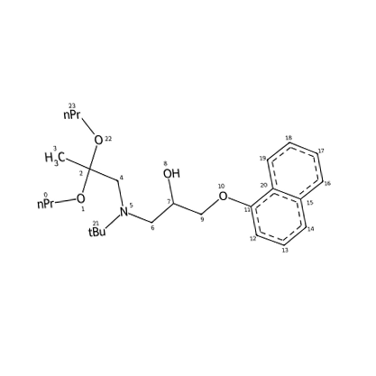 CCCOC(C)(CN(CC(O)COc1cccc2ccccc12)C(C)(C)C)OCCC